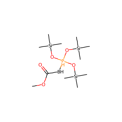 COC(=O)B[PH](O[Si](C)(C)C)(O[Si](C)(C)C)O[Si](C)(C)C